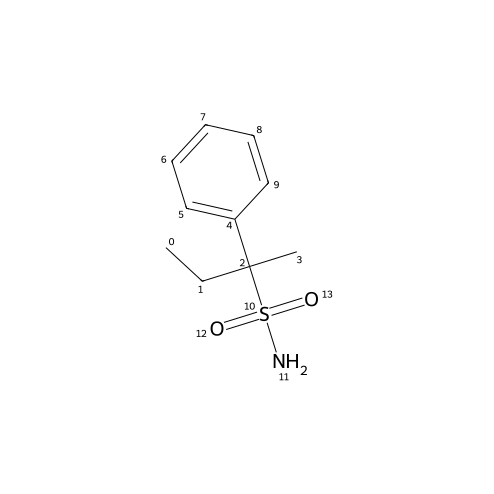 CCC(C)(c1ccccc1)S(N)(=O)=O